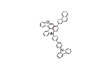 c1ccc(N(c2ccc(-c3ccc(-n4c5ccccc5c5ccccc54)cc3)cc2)c2ccc(-c3ccc4c(ccc5ccccc54)c3)cc2)c(-c2cccc3oc4ccccc4c23)c1